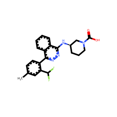 Cc1ccc(-c2nnc(N[C@@H]3CCCN(C(=O)O)C3)c3ccccc23)c(C(F)F)c1